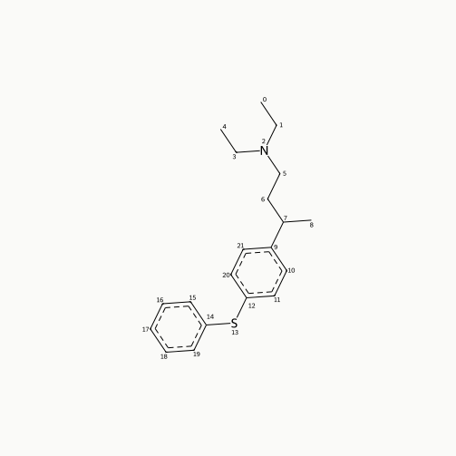 CCN(CC)CCC(C)c1ccc(Sc2ccccc2)cc1